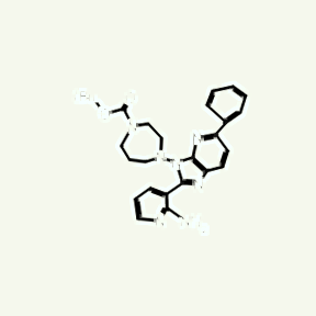 CC(C)(C)OC(=O)N1CCCN(n2c(-c3cccnc3N)nc3ccc(-c4ccccc4)nc32)CC1